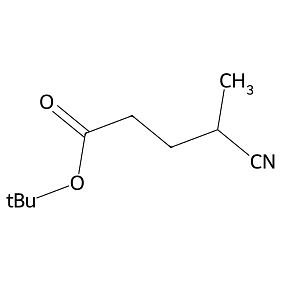 CC(C#N)CCC(=O)OC(C)(C)C